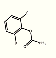 NC(=O)Oc1c(F)cccc1Cl